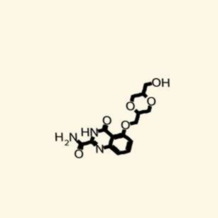 NC(=O)c1nc2cccc(OCC3COC(CO)CO3)c2c(=O)[nH]1